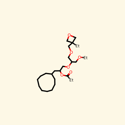 CCOCC(COCC1(CC)COC1)OCC(CC1CCCCCCCCC1)OC(=O)CC